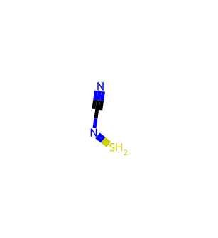 N#CN=[SH2]